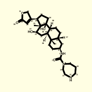 C[C@]12CC[C@H](NC(=O)N3CCCNCC3)C[C@H]1CC[C@@H]1[C@@H]2C[C@@H](O)[C@]2(C)[C@@H](C3=CC(=O)OC3)CC[C@]12O